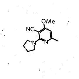 COc1cc(C)nc(N2CCCC2)c1C#N